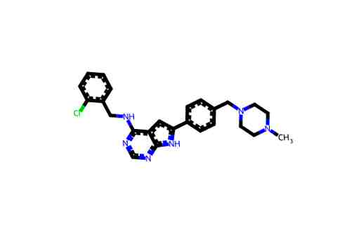 CN1CCN(Cc2ccc(-c3cc4c(NCc5ccccc5Cl)ncnc4[nH]3)cc2)CC1